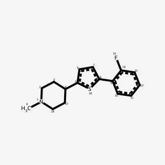 CN1CCC(c2ccc(-c3ccccc3F)s2)CC1